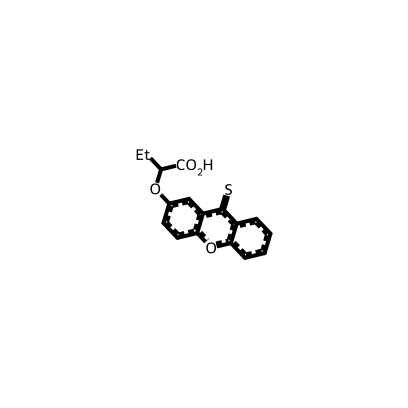 CCC(Oc1ccc2oc3ccccc3c(=S)c2c1)C(=O)O